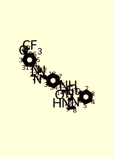 CCc1ccccc1N1CCN/C1=N\C(=O)Nc1ccc(-c2ncn(-c3ccc(OC(F)(F)F)cc3)n2)cc1